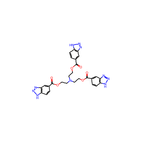 O=C(OCCN(CCOC(=O)c1ccc2[nH]nnc2c1)CCOC(=O)c1ccc2[nH]nnc2c1)c1ccc2[nH]nnc2c1